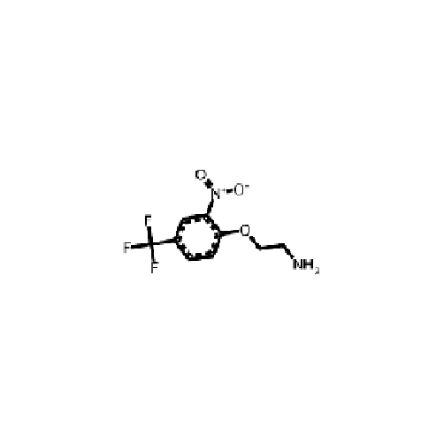 NCCOc1ccc(C(F)(F)F)cc1[N+](=O)[O-]